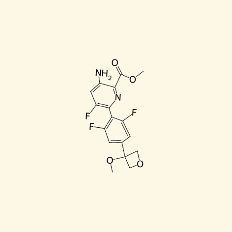 COC(=O)c1nc(-c2c(F)cc(C3(OC)COC3)cc2F)c(F)cc1N